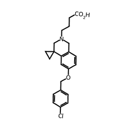 O=C(O)CCCN1Cc2ccc(OCc3ccc(Cl)cc3)cc2C2(CC2)C1